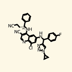 N#CCC[C@@H](Nc1c(C#N)cnc2c(Cl)cc(NC(c3ccc(F)cc3)c3cn(C4CC4)nn3)cc12)c1ccccc1